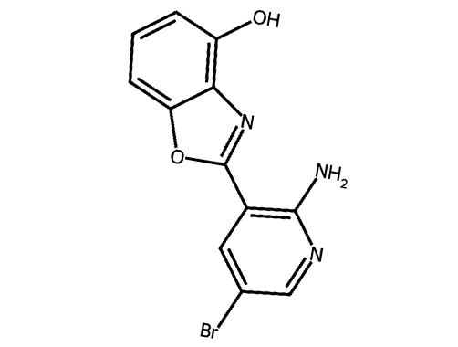 Nc1ncc(Br)cc1-c1nc2c(O)cccc2o1